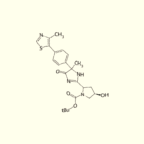 Cc1ncsc1-c1ccc(C2(C)NC(C3C[C@@H](O)CN3C(=O)OC(C)(C)C)=NC2=O)cc1